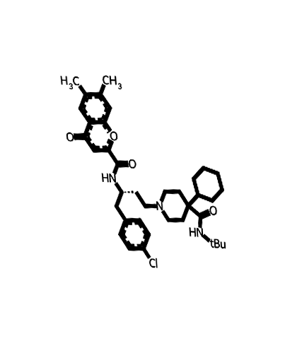 Cc1cc2oc(C(=O)N[C@H](CCN3CCC(C(=O)NC(C)(C)C)(C4CCCCC4)CC3)Cc3ccc(Cl)cc3)cc(=O)c2cc1C